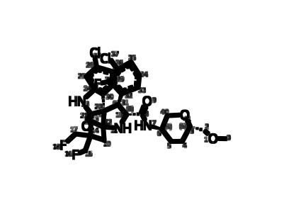 COC[C@@H]1CC[C@@H](NC(=O)[C@@H]2NC3(CC(CF)(CF)C3)[C@@]3(C(=O)Nc4cc(Cl)ccc43)[C@H]2c2cccc(Cl)c2F)CO1